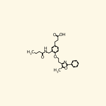 CCCC(=O)NCc1cc(CCC(=O)O)ccc1OCCc1nc(-c2ccccc2)oc1C